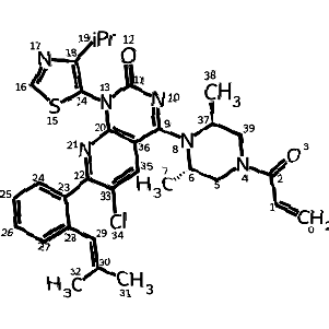 C=CC(=O)N1C[C@H](C)N(c2nc(=O)n(-c3scnc3C(C)C)c3nc(-c4ccccc4C=C(C)C)c(Cl)cc23)[C@@H](C)C1